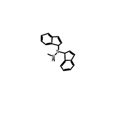 C[SiH](C)[Ti]([CH]1C=Cc2ccccc21)[CH]1C=Cc2ccccc21